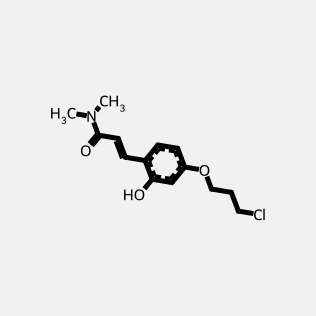 CN(C)C(=O)C=Cc1ccc(OCCCCl)cc1O